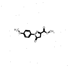 COC(=O)C1=NN(c2ccc(OC)cc2)C(=O)C1